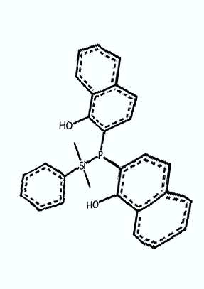 C[Si](C)(c1ccccc1)P(c1ccc2ccccc2c1O)c1ccc2ccccc2c1O